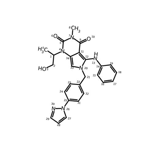 CC(CO)n1c(=O)n(C)c(=O)c2c(Nc3ccccc3)n(Cc3ccc(-n4cccn4)cc3)cc21